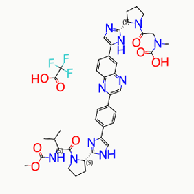 COC(=O)N[C@H](C(=O)N1CCC[C@H]1c1nc(-c2ccc(-c3cnc4cc(-c5cnc([C@@H]6CCCN6C(=O)CN(C)C(=O)O)[nH]5)ccc4n3)cc2)c[nH]1)C(C)C.O=C(O)C(F)(F)F